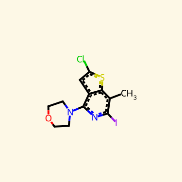 Cc1c(I)nc(N2CCOCC2)c2cc(Cl)sc12